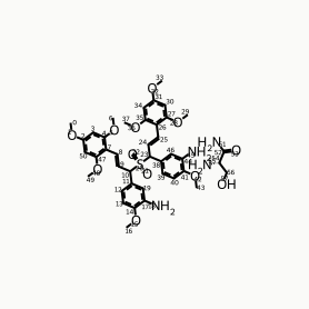 COc1cc(OC)c(C=CC(c2ccc(OC)c(N)c2)S(=O)(=O)C(C=Cc2c(OC)cc(OC)cc2OC)c2ccc(OC)c(N)c2)c(OC)c1.NC(=O)[C@@H](N)CO